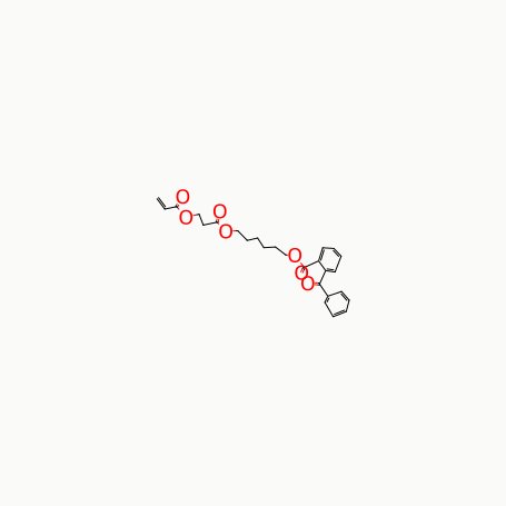 C=CC(=O)OCCC(=O)OCCCCCCOC(=O)c1ccccc1C(=O)c1ccccc1